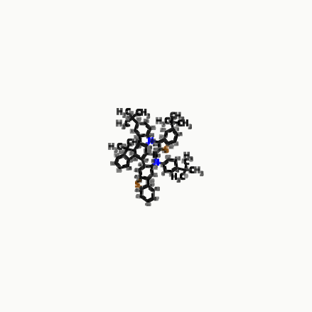 CC(C)(C)c1ccc(N2B3c4sc5ccc(C(C)(C)C)cc5c4-n4c5ccc(C(C)(C)C)cc5c5c6c(c(c3c54)-c3cc4sc5ccccc5c4cc32)-c2ccccc2C6(C)C)cc1